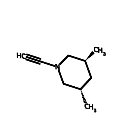 C#CN1C[C@H](C)C[C@H](C)C1